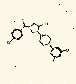 O=C(c1ccc(Cl)cc1)N1CC(O)C(N2CCN(c3cc(Cl)cc(Cl)c3)CC2)C1